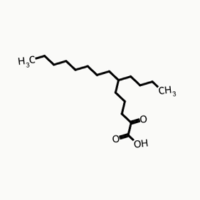 CCCCCCCCC(CCCC)CCCC(=O)C(=O)O